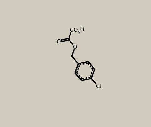 O=C(O)C(=O)OCc1ccc(Cl)cc1